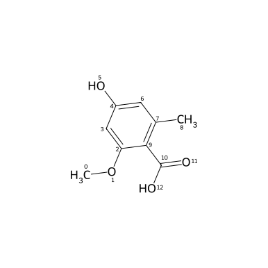 COc1cc(O)cc(C)c1C(=O)O